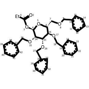 CCC(=O)O[C@H]1O[C@H](COCc2ccccc2)[C@@H](OCc2ccccc2)[C@H](OCc2ccccc2)[C@@H]1OCc1ccccc1